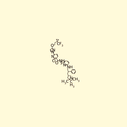 CN1CC(CC(CNc2cccc(SNC(=O)c3ccc(-n4ccc(OCCC5(C(F)(F)F)CC5)n4)nc3Cl)n2)c2ccccc2)CC1(C)C